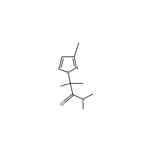 Cc1ccn(C(C)(C)C(=O)N(C)C)n1